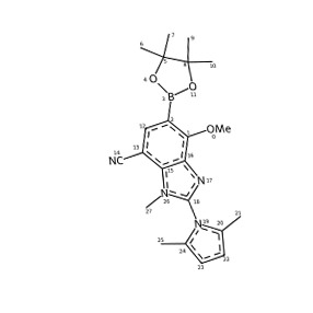 COc1c(B2OC(C)(C)C(C)(C)O2)cc(C#N)c2c1nc(-n1c(C)ccc1C)n2C